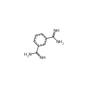 N=C(N)c1c[c]cc(C(=N)N)c1